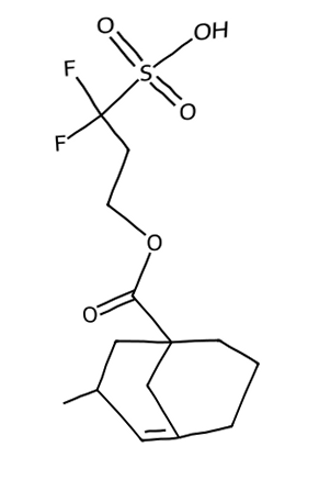 CC1C=C2CCCC(C(=O)OCCC(F)(F)S(=O)(=O)O)(C2)C1